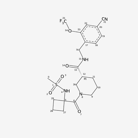 CS(=O)(=O)NC1(C(=O)N2CCC[C@@H](C(=O)NCc3ccc(C#N)cc3OC(F)(F)F)C2)CCC1